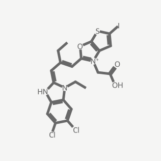 CCC(=Cc1oc2sc(I)cc2[n+]1CC(=O)O)C=C1Nc2cc(Cl)c(Cl)cc2N1CC